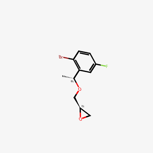 C[C@@H](OC[C@H]1CO1)c1cc(F)ccc1Br